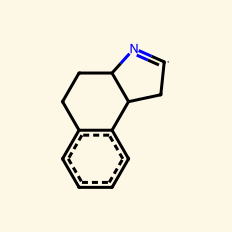 [C]1=NC2CCc3ccccc3C2C1